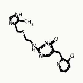 Cc1[nH]cnc1CSCCNc1ncc(Cc2ncccc2Cl)c(=O)[nH]1